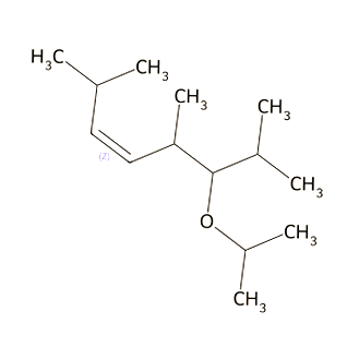 CC(C)/C=C\C(C)C(OC(C)C)C(C)C